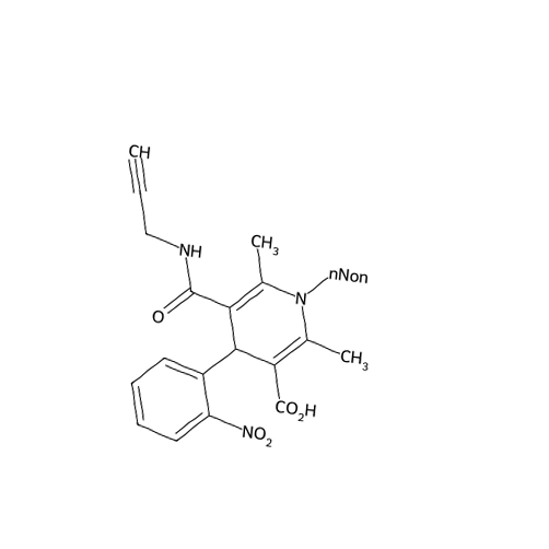 C#CCNC(=O)C1=C(C)N(CCCCCCCCC)C(C)=C(C(=O)O)C1c1ccccc1[N+](=O)[O-]